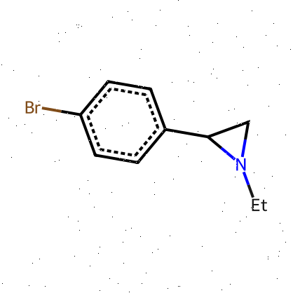 CCN1CC1c1ccc(Br)cc1